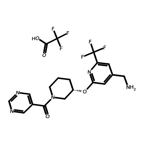 NCc1cc(O[C@H]2CCCN(C(=O)c3cncnc3)C2)nc(C(F)(F)F)c1.O=C(O)C(F)(F)F